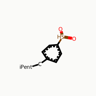 CCCC(C)Cc1ccc([SH](=O)=O)cc1